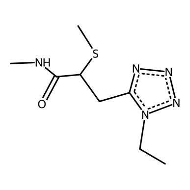 CCn1nnnc1CC(SC)C(=O)NC